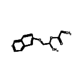 C=CC(=O)OC(C)COc1ccc2c[c]ccc2c1